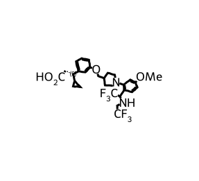 COc1ccc(C(NCC(F)(F)F)C(F)(F)F)c(N2CCC(COc3cccc([C@@H](CC(=O)O)C4CC4)c3)CC2)c1